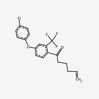 C=CCCCC(=O)c1ccc(Oc2ccc(Cl)cc2)cc1C(F)(F)F